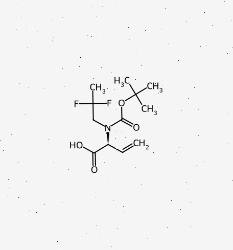 C=C[C@@H](C(=O)O)N(CC(C)(F)F)C(=O)OC(C)(C)C